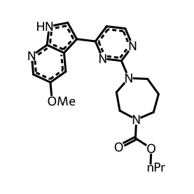 CCCOC(=O)N1CCCN(c2nccc(-c3c[nH]c4ncc(OC)cc34)n2)CC1